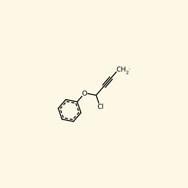 [CH2]C#CC(Cl)Oc1ccccc1